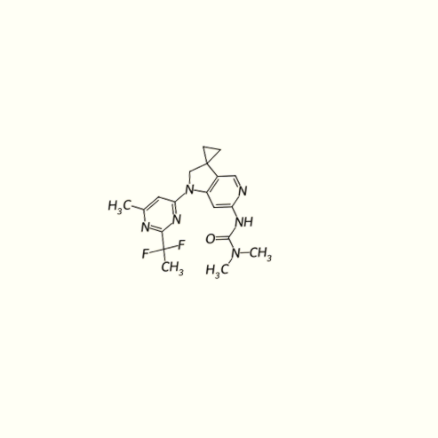 Cc1cc(N2CC3(CC3)c3cnc(NC(=O)N(C)C)cc32)nc(C(C)(F)F)n1